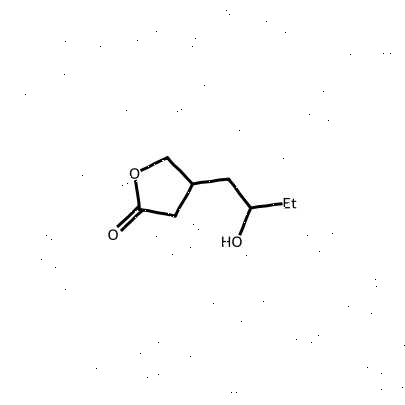 CCC(O)CC1COC(=O)C1